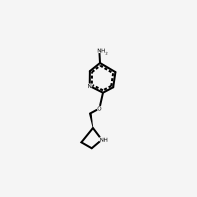 Nc1ccc(OC[C@@H]2CCN2)nc1